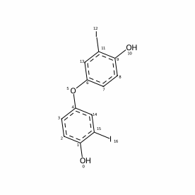 Oc1ccc(Oc2ccc(O)c(I)c2)cc1I